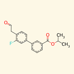 CC(C)OC(=O)c1cccc(-c2ccc(CC=O)c(F)c2)c1